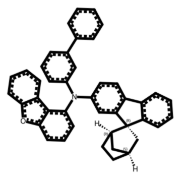 c1ccc(-c2cccc(N(c3ccc4c(c3)[C@@]3(C[C@H]5CC[C@@H]3C5)c3ccccc3-4)c3cccc4oc5ccccc5c34)c2)cc1